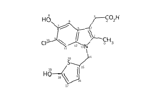 Cc1c(CC(=O)O)c2cc(O)c(Cl)cc2n1Cc1ccc(O)s1